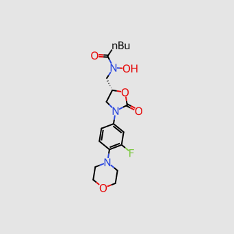 CCCCC(=O)N(O)C[C@H]1CN(c2ccc(N3CCOCC3)c(F)c2)C(=O)O1